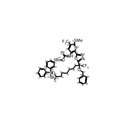 CSc1nc(-c2nnc([C@@](CCCCCC[C@@H](C)O[Si](c3ccccc3)(c3ccccc3)C(C)(C)C)(OCc3ccccc3)C(F)(F)F)o2)c(NC(=O)OC(C)(C)C)cc1C(F)(F)F